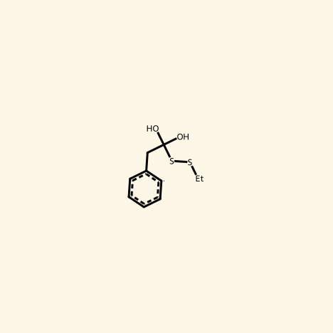 CCSSC(O)(O)Cc1[c]cccc1